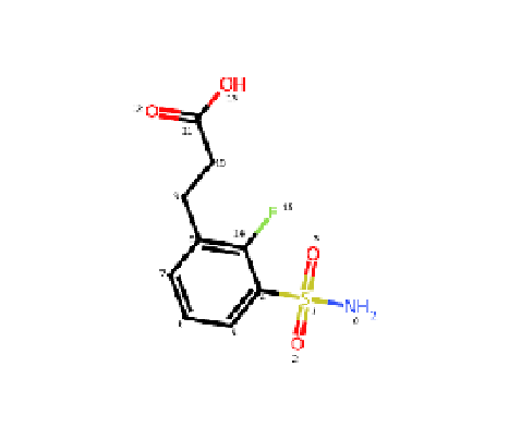 NS(=O)(=O)c1cccc(CCC(=O)O)c1F